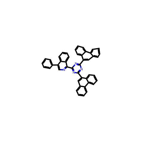 c1ccc(-c2cnc(-c3nc(-c4cc5ccccc5c5ccccc45)nc(-c4cc5ccccc5c5ccccc45)n3)c3ccccc23)cc1